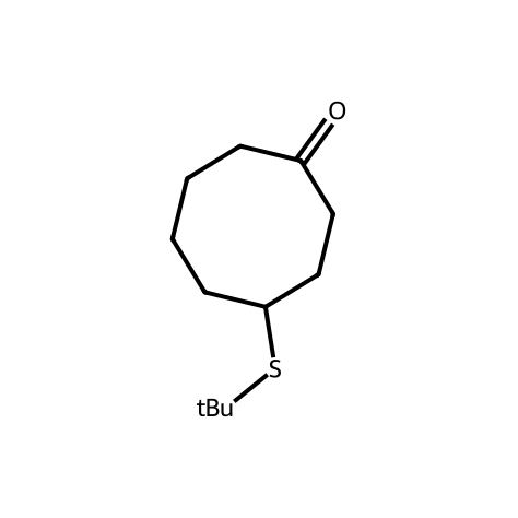 CC(C)(C)SC1CCCCC(=O)CC1